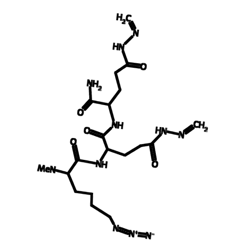 C=NNC(=O)CCC(NC(=O)C(CCC(=O)NN=C)NC(=O)C(CCCCN=[N+]=[N-])NC)C(N)=O